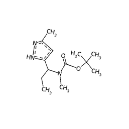 CCC(c1cc(C)n[nH]1)N(C)C(=O)OC(C)(C)C